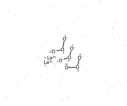 [La+3].[La+3].[O-]O[O-].[O-]O[O-].[O-]O[O-]